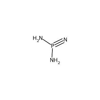 N#P(N)N